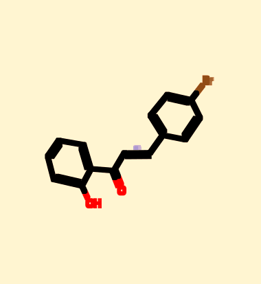 O=C(/C=C/c1ccc(Br)cc1)c1ccccc1O